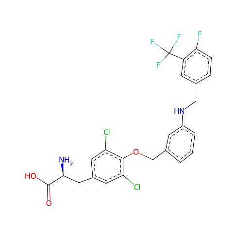 N[C@@H](Cc1cc(Cl)c(OCc2cccc(NCc3ccc(F)c(C(F)(F)F)c3)c2)c(Cl)c1)C(=O)O